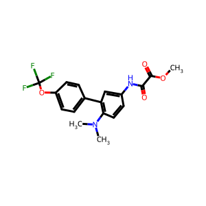 COC(=O)C(=O)Nc1ccc(N(C)C)c(-c2ccc(OC(F)(F)F)cc2)c1